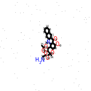 COc1cc2c(c3c1c(=O)c1cc4ccccc4cc1n3C)C(OC(C)=O)C(OC(=O)CN)C(C)(C)O2